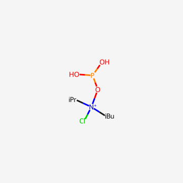 CCC(C)[N+](Cl)(OP(O)O)C(C)C